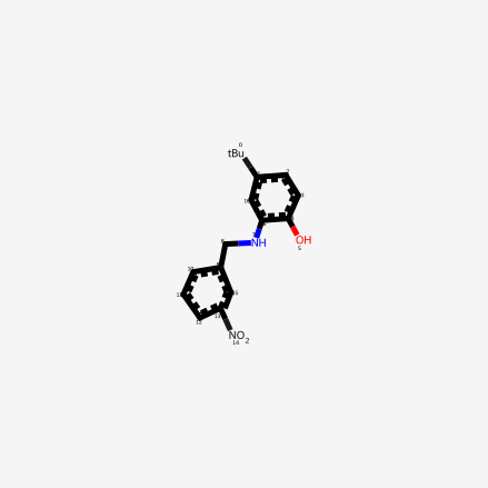 CC(C)(C)c1ccc(O)c(NCc2cccc([N+](=O)[O-])c2)c1